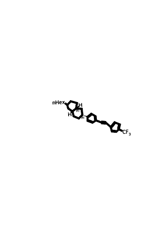 CCCCCCC1CC[C@@H]2C[C@H](c3ccc(C#Cc4ccc(C(F)(F)F)cc4)cc3)CC[C@@H]2C1